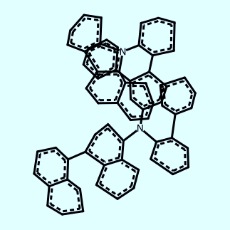 c1ccc(-c2cc(N(c3ccccc3-c3ccccc3)c3ccc(-c4cccc5ccccc45)c4ccccc34)ccc2-c2ccccc2-n2c3ccccc3c3ccc4ccccc4c32)cc1